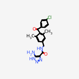 Cc1cc(CNC(=O)c2nn[nH]c2N)cc(C)c1C(=O)c1ccc(Cl)cc1